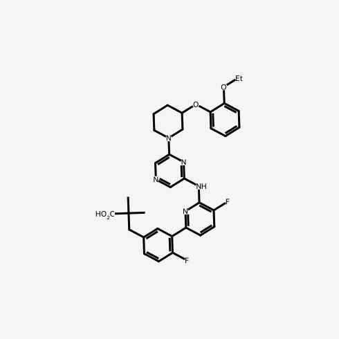 CCOc1ccccc1OC1CCCN(c2cncc(Nc3nc(-c4cc(CC(C)(C)C(=O)O)ccc4F)ccc3F)n2)C1